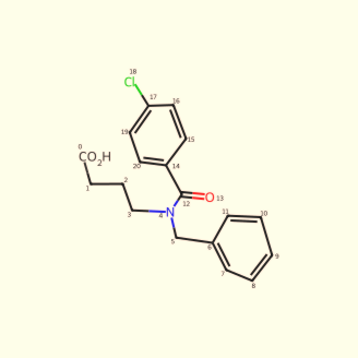 O=C(O)CCCN(Cc1ccccc1)C(=O)c1ccc(Cl)cc1